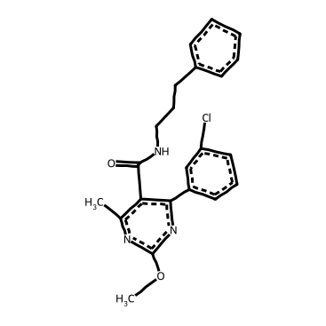 COc1nc(C)c(C(=O)NCCCc2ccccc2)c(-c2cccc(Cl)c2)n1